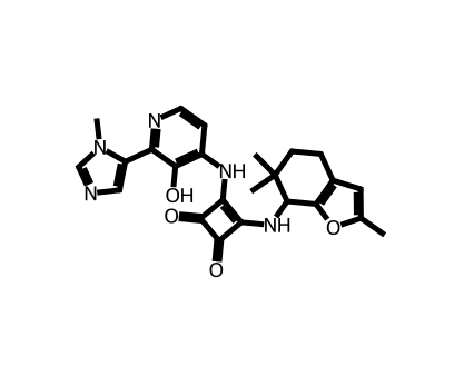 Cc1cc2c(o1)C(Nc1c(Nc3ccnc(-c4cncn4C)c3O)c(=O)c1=O)C(C)(C)CC2